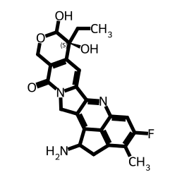 CC[C@]1(O)c2cc3n(c(=O)c2COC1O)Cc1c-3nc2cc(F)c(C)c3c2c1C(N)C3